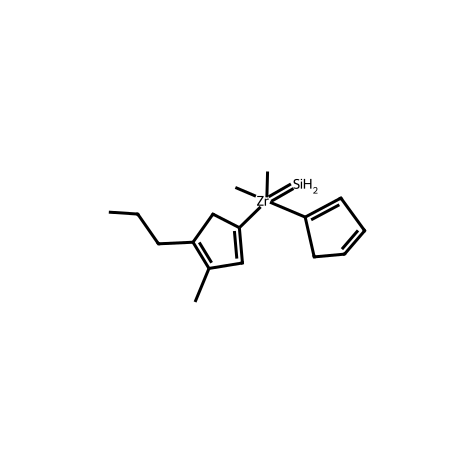 CCCC1=C(C)C=[C]([Zr]([CH3])([CH3])(=[SiH2])[C]2=CC=CC2)C1